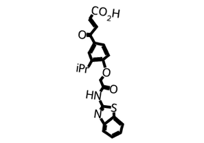 CC(C)c1cc(C(=O)C=CC(=O)O)ccc1OCC(=O)Nc1nc2ccccc2s1